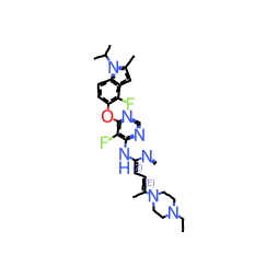 C=N/C(=C\C=C(/C)N1CCN(CC)CC1)Nc1ncnc(Oc2ccc3c(cc(C)n3C(C)C)c2F)c1F